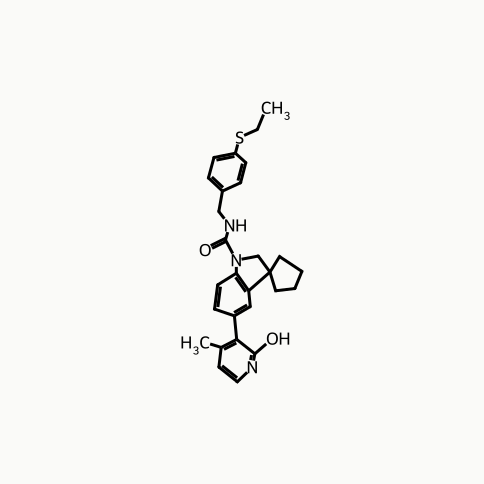 CCSc1ccc(CNC(=O)N2CC3(CCCC3)c3cc(-c4c(C)ccnc4O)ccc32)cc1